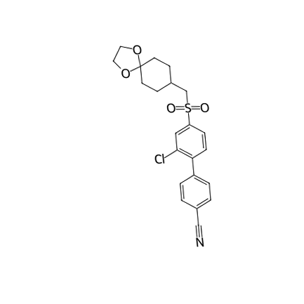 N#Cc1ccc(-c2ccc(S(=O)(=O)CC3CCC4(CC3)OCCO4)cc2Cl)cc1